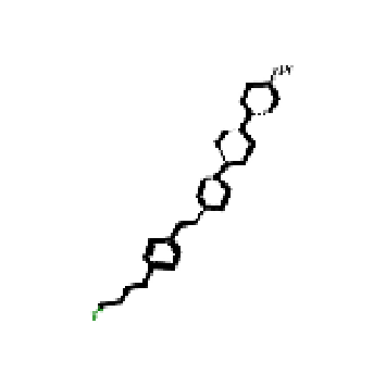 CCC[C@H]1CC[C@H]([C@H]2CC[C@H]([C@H]3CC[C@H](CCc4ccc(CCCCF)cc4)CC3)CC2)CC1